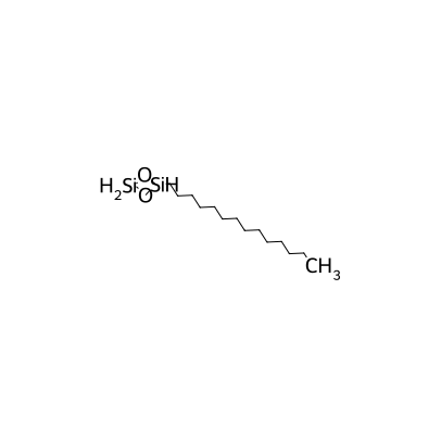 CCCCCCCCCCCCCC[SiH]1O[SiH2]O1